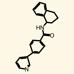 O=C(NC1CCCc2ccccc21)c1ccc(-c2cccnc2)cc1